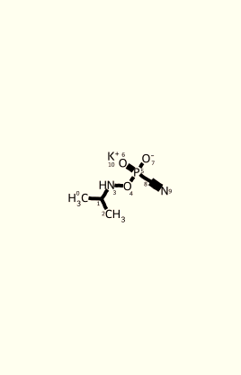 CC(C)NOP(=O)([O-])C#N.[K+]